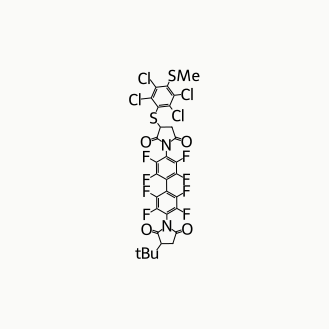 CSc1c(Cl)c(Cl)c(SC2CC(=O)N(c3c(F)c(F)c(-c4c(F)c(F)c(N5C(=O)CC(C(C)(C)C)C5=O)c(F)c4F)c(F)c3F)C2=O)c(Cl)c1Cl